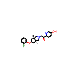 C[C@]12C[C@H](Oc3ccccc3F)C[C@H]1CN(CC(=O)c1ccc(O)cn1)C2